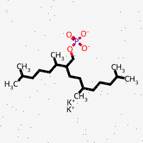 CC(C)CCCC(C)CCC(COP(=O)([O-])[O-])C(C)CCCC(C)C.[K+].[K+]